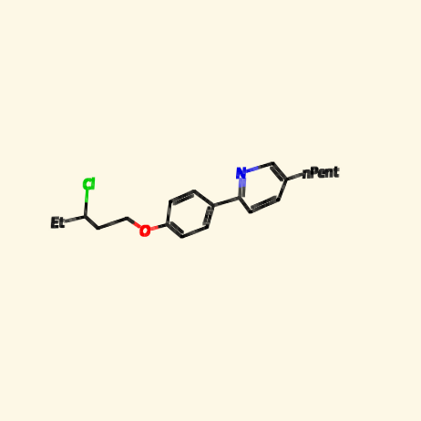 CCCCCc1ccc(-c2ccc(OCCC(Cl)CC)cc2)nc1